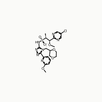 COc1cccc(-c2nnc(NS(=O)(=O)[C@@H](C)[C@H](OC)c3ncc(Cl)cn3)n2[C@H](C)C2COCCO2)n1